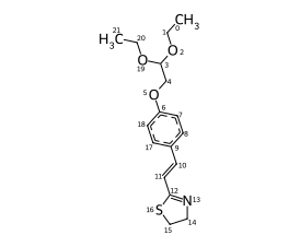 CCOC(COc1ccc(/C=C/C2=NCCS2)cc1)OCC